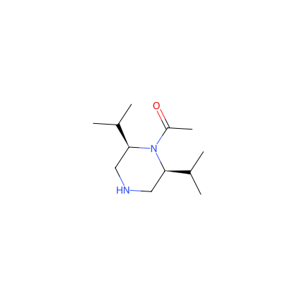 CC(=O)N1[C@@H](C(C)C)CNC[C@H]1C(C)C